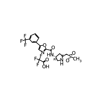 CS(=O)(=O)C[C@@H]1C[C@@H](NC(=O)c2ncc(-c3cccc(C(F)(F)F)c3)o2)CN1.O=C(O)C(F)(F)F